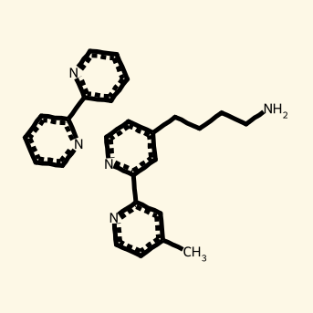 Cc1ccnc(-c2cc(CCCCN)ccn2)c1.c1ccc(-c2ccccn2)nc1